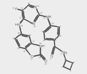 O=C(NC1CCC1)c1ccc(Nc2ncc(F)c(Nc3ccc4oc(=O)[nH]c4c3)n2)cc1